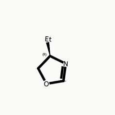 CC[C@@H]1CO[C]=N1